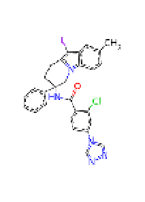 Cc1ccc2c(c1)c(I)c1n2C[C@@](NC(=O)c2ccc(-n3cnnc3)cc2Cl)(c2ccccc2)CC1